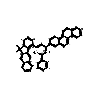 CC1(C)c2cc3ccccc3cc2-c2c(/C=C/C(NC(N)c3ccccc3)c3ccc4c(ccc5c6ccccc6ccc45)c3)cccc21